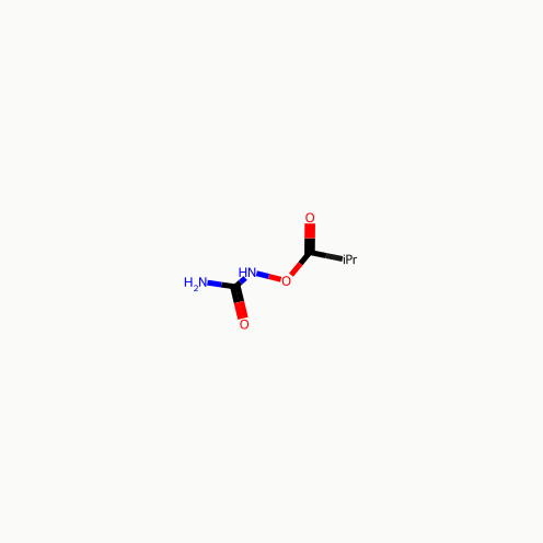 CC(C)C(=O)ONC(N)=O